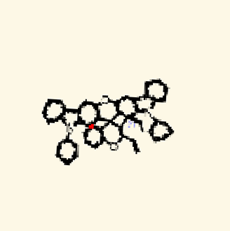 C=CC1=C(/C=C\C)C2(c3ccccc3O1)c1cc3c(cc1Oc1cc4c5ccccc5n(-c5ccccc5)c4cc12)c1ccccc1n3-c1ccccc1